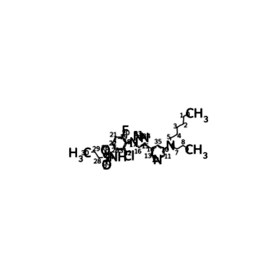 CCCCCCN(CCC)c1cncc(-c2cn(-c3c(F)ccc(NS(=O)(=O)CCC)c3Cl)nn2)c1